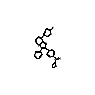 Fc1ccc(-c2cccn3c(-c4ccccc4)c(-c4ccc([AsH]C5CCC5)cc4)nc23)cc1